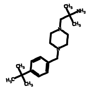 CC(C)(N)CN1CCN(Cc2ccc(C(C)(C)C)cc2)CC1